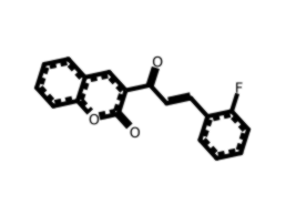 O=C(C=Cc1ccccc1F)c1cc2ccccc2oc1=O